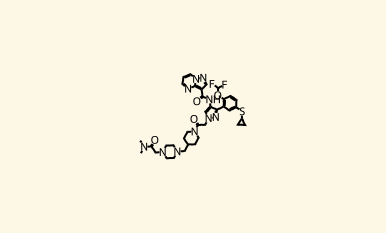 CN(C)C(=O)CN1CCN(CC2CCN(C(=O)Cn3cc(NC(=O)c4cnn5cccnc45)c(-c4cc(SC5CC5)ccc4OC(F)F)n3)CC2)CC1